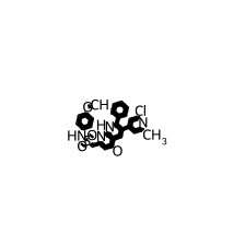 COc1ccc(NS(=O)(=O)Cc2cc(=O)c3cc(-c4cc(C)nc(Cl)c4)c(-c4ccccc4)nc3[nH]2)cc1